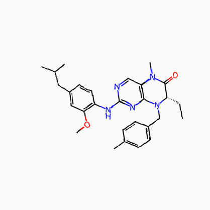 CC[C@H]1C(=O)N(C)c2cnc(Nc3ccc(CC(C)C)cc3OC)nc2N1Cc1ccc(C)cc1